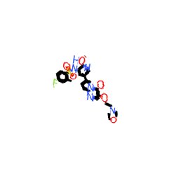 COc1ncc(-c2ccc3ncc(OCCN4CCOCC4)c(=O)n3c2)cc1NS(=O)(=O)c1ccc(F)cc1C